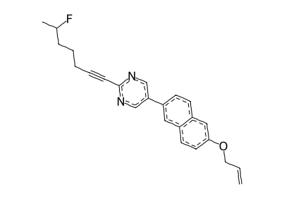 C=CCOc1ccc2cc(-c3cnc(C#CCCCC(C)F)nc3)ccc2c1